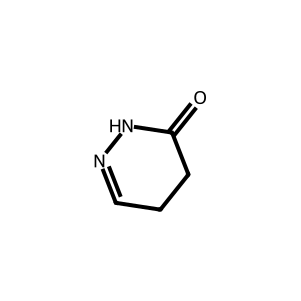 O=C1CCC=NN1